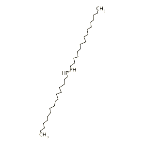 CCCCCCCCCCCCCCCCCPPCCCCCCCCCCCCCCCCC